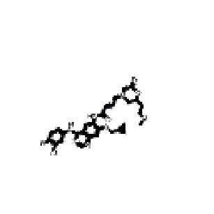 COCCC1CN(C/C=C/C(=O)Nc2cc3c(Nc4ccc(F)c(Cl)c4)ncnc3cc2OCC2CC2)CC(=O)O1